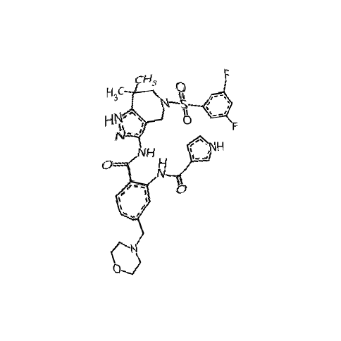 CC1(C)CN(S(=O)(=O)c2cc(F)cc(F)c2)Cc2c(NC(=O)c3ccc(CN4CCOCC4)cc3NC(=O)c3cc[nH]c3)n[nH]c21